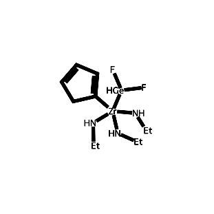 CC[NH][Zr]([NH]CC)([NH]CC)([C]1=CC=CC1)[GeH]([F])[F]